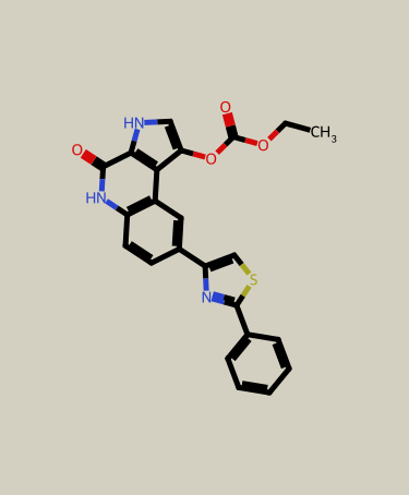 CCOC(=O)Oc1c[nH]c2c(=O)[nH]c3ccc(-c4csc(-c5ccccc5)n4)cc3c12